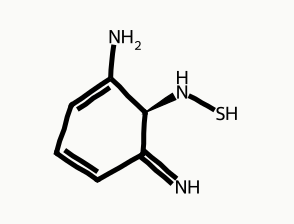 N=C1C=CC=C(N)[C@H]1NS